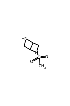 CS(=O)(=O)N1CC2NCC21